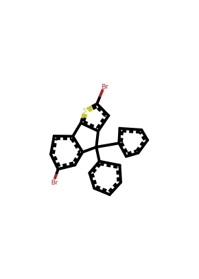 Brc1ccc2c(c1)C(c1ccccc1)(c1ccccc1)c1cc(Br)sc1-2